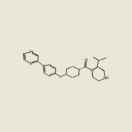 CC(C)C1CNCCN1C(=O)C1CCC(Oc2ccc(-c3cnccn3)cc2)CC1